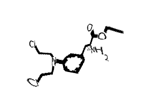 CCOC(=O)[C@@H](N)Cc1cccc(N(CCCl)CCCl)c1